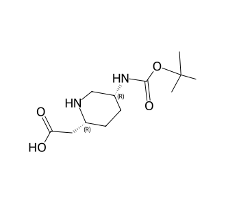 CC(C)(C)OC(=O)N[C@@H]1CC[C@H](CC(=O)O)NC1